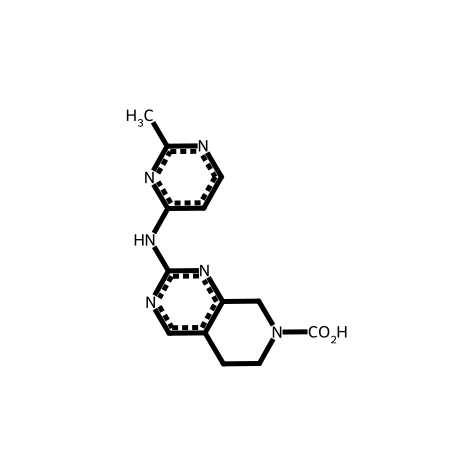 Cc1nccc(Nc2ncc3c(n2)CN(C(=O)O)CC3)n1